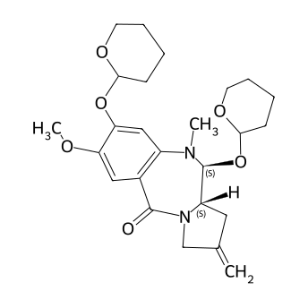 C=C1C[C@H]2[C@H](OC3CCCCO3)N(C)c3cc(OC4CCCCO4)c(OC)cc3C(=O)N2C1